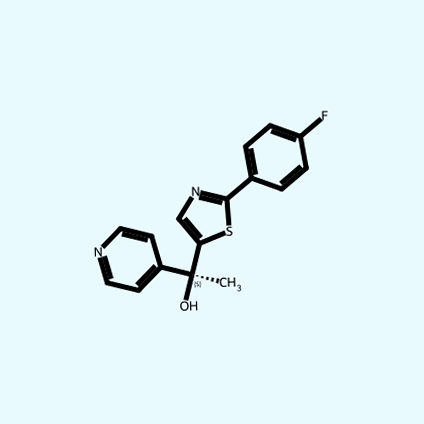 C[C@](O)(c1ccncc1)c1cnc(-c2ccc(F)cc2)s1